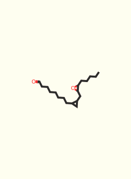 CCCCCC1OC1CC1CC1CCCCCCCC=O